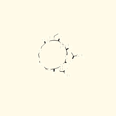 CC[C@@H]1NC(=O)COCCOCCNC(=O)[C@H](CC(=O)O)NC(=O)N[C@@H](CC(N)=O)C(=O)NNC1=O